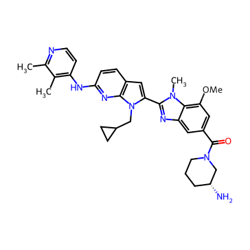 COc1cc(C(=O)N2CCC[C@@H](N)C2)cc2nc(-c3cc4ccc(Nc5ccnc(C)c5C)nc4n3CC3CC3)n(C)c12